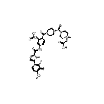 COc1ccc(-c2cnc(C(=O)Nc3ccc(C(=O)N4CCN(C(=O)N5CC[N+](C)(CC(=O)O)CC5)CC4)c(Cl)c3)n2C)c(F)c1F.O=C[O-]